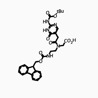 CC(C)(C)OC(=O)Nc1ncc(CC(=O)N(CCNC(=O)OCC2c3ccccc3-c3ccccc32)CC(=O)O)c(=O)[nH]1